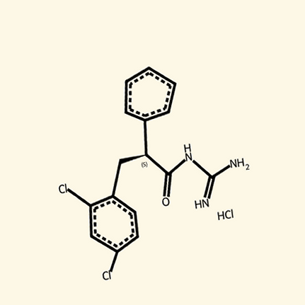 Cl.N=C(N)NC(=O)[C@@H](Cc1ccc(Cl)cc1Cl)c1ccccc1